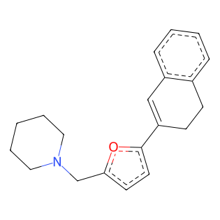 C1=C(c2ccc(CN3CCCCC3)o2)CCc2ccccc21